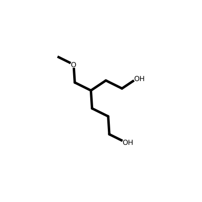 COCC(CCO)CCCO